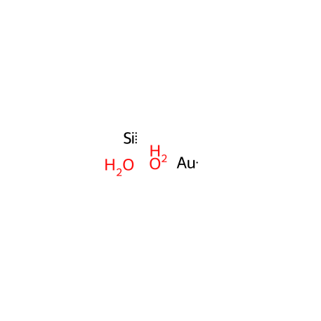 O.O.[Au].[Si]